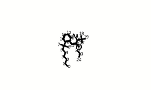 CCCCCCC(C)(C)c1cccc2nc(C(C)(C)C)c(OCCC)cc12